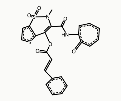 CN1C(C(=O)Nc2cccccc2=O)=C(OC(=O)/C=C/c2ccccc2)c2sccc2S1(=O)=O